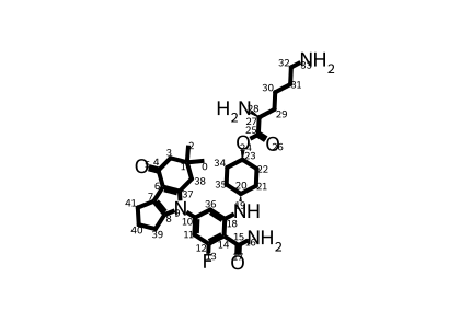 CC1(C)CC(=O)c2c3c(n(-c4cc(F)c(C(N)=O)c(N[C@H]5CC[C@H](OC(=O)[C@@H](N)CCCCN)CC5)c4)c2C1)CCC3